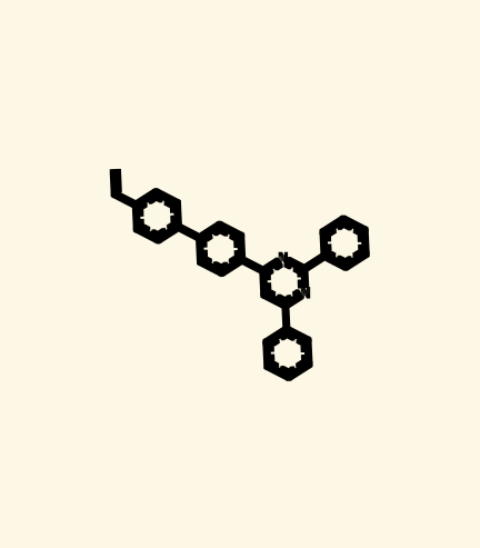 C=Cc1ccc(-c2ccc(-c3cc(-c4ccccc4)nc(-c4ccccc4)n3)cc2)cc1